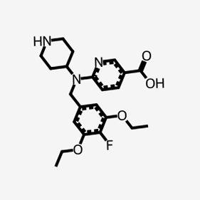 CCOc1cc(CN(c2ccc(C(=O)O)cn2)C2CCNCC2)cc(OCC)c1F